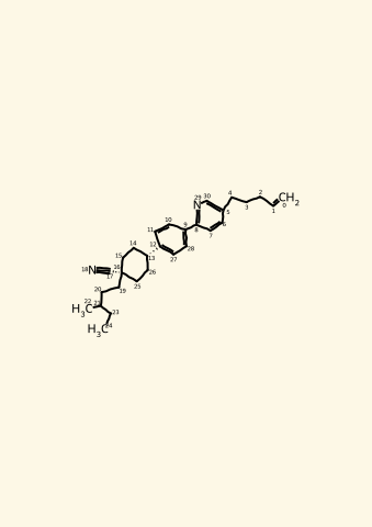 C=CCCCc1ccc(-c2ccc([C@H]3CC[C@](C#N)(CCC(C)CC)CC3)cc2)nc1